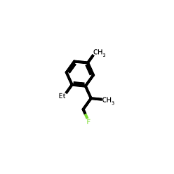 CCc1ccc(C)cc1[C](C)CF